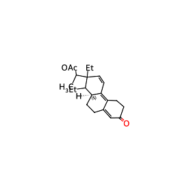 CCC1[C@@H]2CCC3=CC(=O)CCC3=C2C=CC1(CC)C(C)OC(C)=O